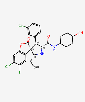 CC(C)(C)C[C@H]1N[C@@H](C(=O)NC2CCC(O)CC2)[C@H](c2cccc(Cl)c2)[C@@]12C(=O)Oc1cc(Cl)c(F)cc12